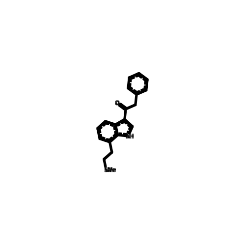 CSCCc1cccc2c(C(=O)Cc3ccccc3)c[nH]c12